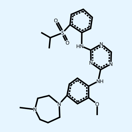 COc1cc(N2CCCN(C)CC2)ccc1Nc1ncnc(Nc2ccccc2S(=O)(=O)C(C)C)n1